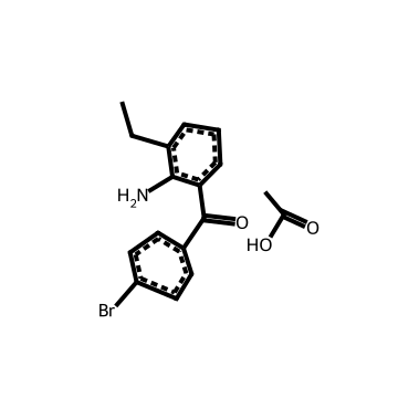 CC(=O)O.CCc1cccc(C(=O)c2ccc(Br)cc2)c1N